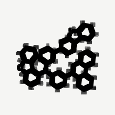 c1cc(-c2ccc3c(c2)sc2ccccc23)cc(N(c2cccc(-c3cc4ccccc4c4ccccc34)c2)c2cccc3oc4ccccc4c23)c1